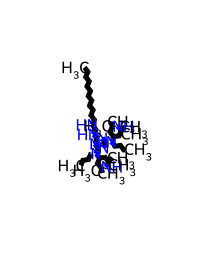 CCCCCCCCCCCCNCNc1nc(N(CCCC)C2CC(C)(C)NC(C)(C)C2)nc(N(CCCC)C2CC(C)(C)NC(C)(C)C2)n1